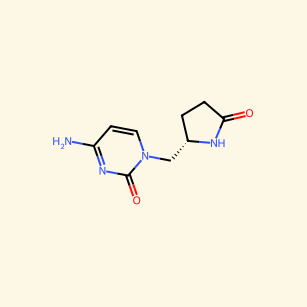 Nc1ccn(C[C@@H]2CCC(=O)N2)c(=O)n1